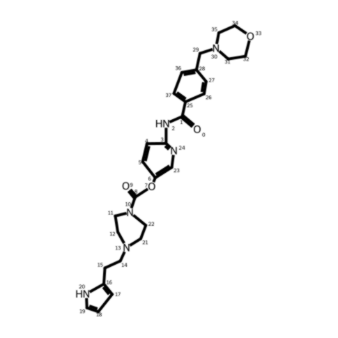 O=C(Nc1ccc(OC(=O)N2CCN(CCc3ccc[nH]3)CC2)cn1)c1ccc(CN2CCOCC2)cc1